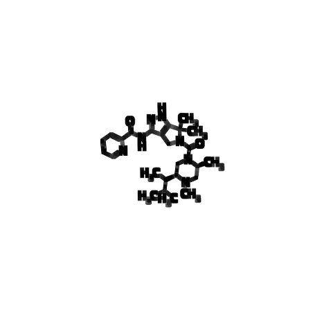 CC(C)C(C)[C@H]1CN(C(=O)N2Cc3c(NC(=O)c4ccccn4)n[nH]c3C2(C)C)[C@@H](C)CN1C